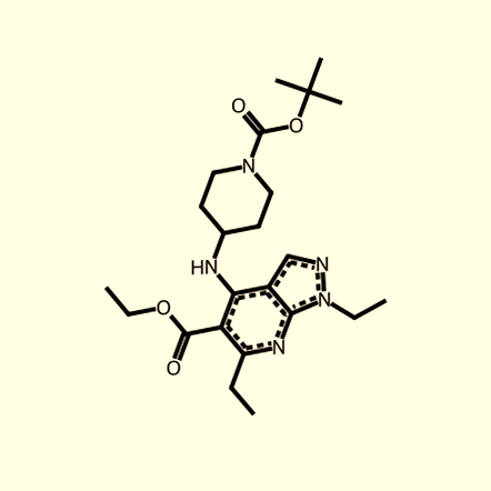 CCOC(=O)c1c(CC)nc2c(cnn2CC)c1NC1CCN(C(=O)OC(C)(C)C)CC1